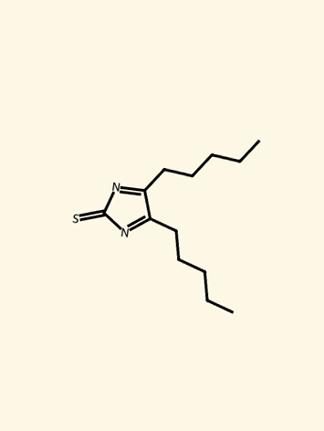 CCCCCC1=NC(=S)N=C1CCCCC